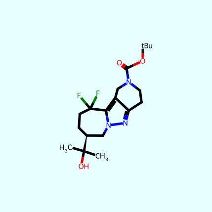 CC(C)(C)OC(=O)N1CCc2nn3c(c2C1)C(F)(F)CC[C@H](C(C)(C)O)C3